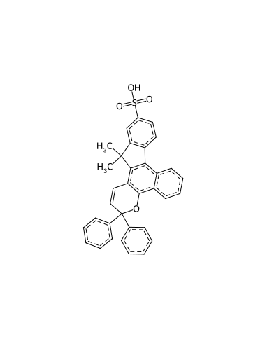 CC1(C)c2cc(S(=O)(=O)O)ccc2-c2c1c1c(c3ccccc23)OC(c2ccccc2)(c2ccccc2)C=C1